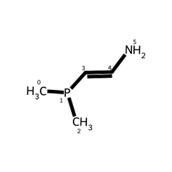 CP(C)C=CN